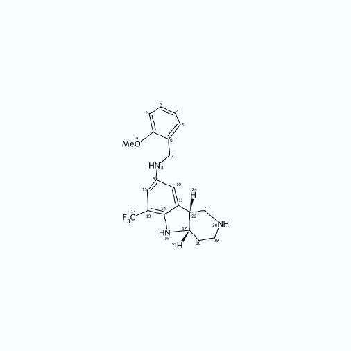 COc1ccccc1CNc1cc2c(c(C(F)(F)F)c1)N[C@H]1CCNC[C@@H]21